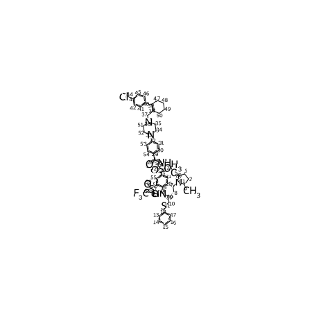 CC1CC[C@H](C)N1CC[C@H](CSc1ccccc1)Nc1ccc(S(=O)(=O)NC(=O)c2ccc(N3CCN(CC4=C(c5ccc(Cl)cc5)CCCC4)CC3)cc2)cc1S(=O)(=O)C(F)(F)F